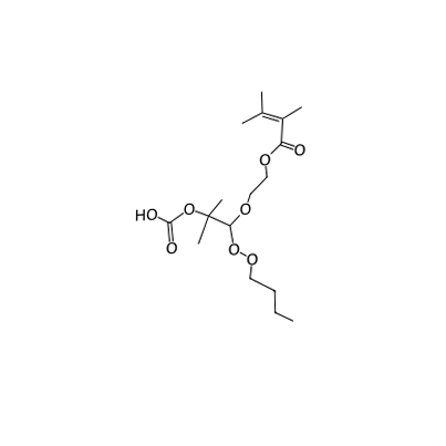 CCCCOOC(OCCOC(=O)C(C)=C(C)C)C(C)(C)OC(=O)O